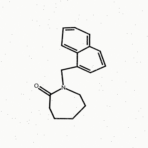 O=C1CCCCCN1Cc1cccc2ccccc12